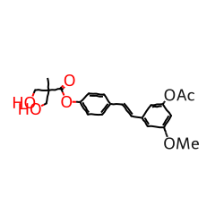 COc1cc(/C=C/c2ccc(OC(=O)C(C)(CO)CO)cc2)cc(OC(C)=O)c1